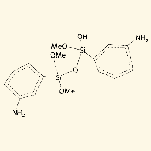 CO[Si](O)(O[Si](OC)(OC)c1cccc(N)c1)c1cccc(N)c1